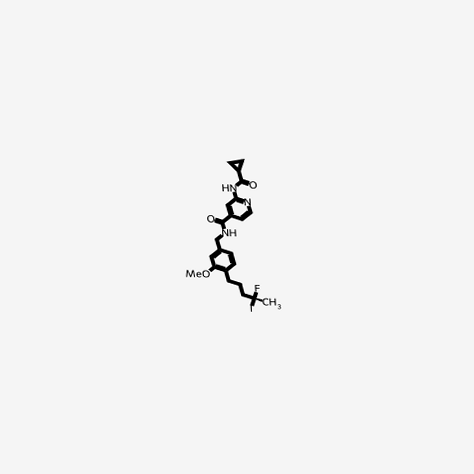 COc1cc(CNC(=O)c2ccnc(NC(=O)C3CC3)c2)ccc1CCC[C@](C)(F)I